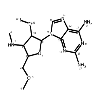 CNC1C(COC)OC(n2cnc3c(N)nc(N)nc32)C1OI